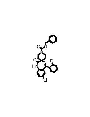 O=C(OCc1ccccc1)N1CCC2(CC1)N=C(c1ccccc1F)c1cc(Cl)ccc1NC2=O